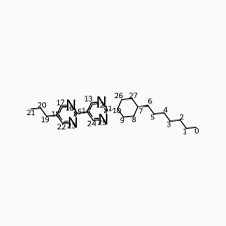 CCCCCCC[C@H]1CC[C@H](c2ncc(-c3ncc(CCC)cn3)cn2)CC1